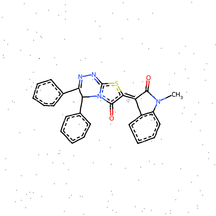 CN1C(=O)/C(=c2\sc3n(c2=O)C(c2ccccc2)C(c2ccccc2)=NN=3)c2ccccc21